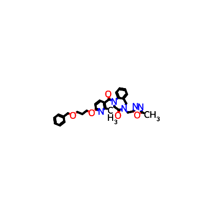 Cc1nnc(CN2Cc3ccccc3N(C(=O)c3ccc(OCCCOCc4ccccc4)nc3C)CC2=O)o1